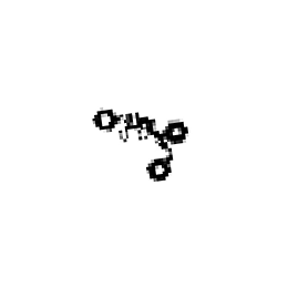 O=C(NC1CCCCC1)c1ccc(-c2nn(Cc3ccccc3)c3ccccc23)o1